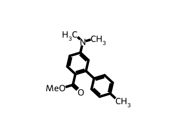 COC(=O)c1ccc(N(C)C)cc1-c1ccc(C)cc1